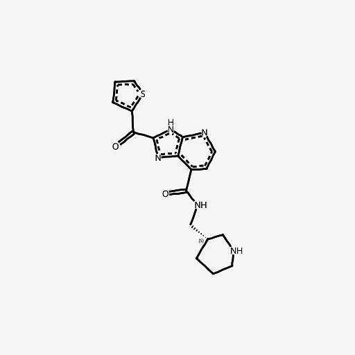 O=C(c1nc2c(C(=O)NC[C@H]3CCCNC3)ccnc2[nH]1)c1cccs1